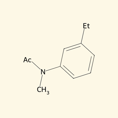 [CH2]Cc1cccc(N(C)C(C)=O)c1